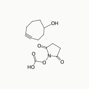 O=C(O)ON1C(=O)CCC1=O.OC1CCC#CCCC1